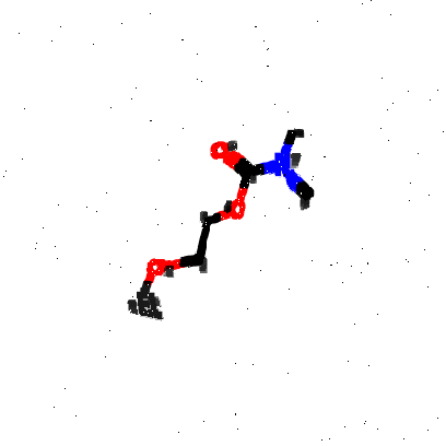 CCOCCOC(=O)N(C)C